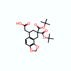 CC(C)(C)OC(=O)C1(C(=O)OC(C)(C)C)Cc2c(ccc3c2OCO3)C(CC(=O)O)C1